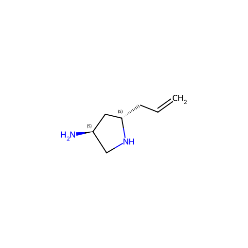 C=CC[C@H]1C[C@H](N)CN1